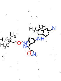 CC1(C)CC(Nc2ccc3c(c2)c(-c2cnco2)nn3COCC[Si](C)(C)C)c2ccc(C#N)cc21